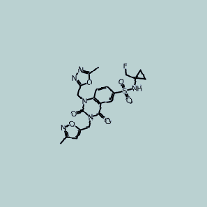 Cc1cc(Cn2c(=O)c3cc(S(=O)(=O)NC4(CF)CC4)ccc3n(Cc3nnc(C)o3)c2=O)on1